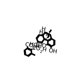 CN1CC[C@]23c4c5ccc(O)c4O[C@H]2[C@@H](O)C=C[C@H]3[C@H]1C5.Cc1cccc(C(=O)O)c1C(=O)O